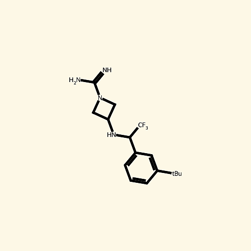 CC(C)(C)c1cccc(C(NC2CN(C(=N)N)C2)C(F)(F)F)c1